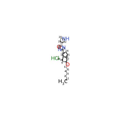 CCCCCCCOc1ccc2cc(-c3noc([C@@H]4CCNC4)n3)ccc2c1.Cl